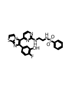 O=S(=O)(NCCNc1nccc(-c2c(-c3ccc(F)c(O)c3)nc3sccn23)n1)c1ccccc1